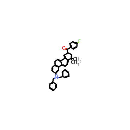 CC1(C)CC(C(=O)c2ccc(F)cc2)C=c2c1ccc1c2=CCc2ccc(N(Cc3ccccc3)Cc3ccccc3)cc2-1